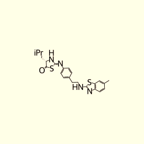 Cc1ccc2nc(NCCc3ccc(/N=C4/N[C@@H](CC(C)C)C(=O)S4)cc3)sc2c1